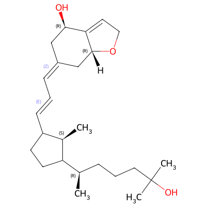 C[C@@H]1C(/C=C/C=C2/C[C@@H](O)C3=CCO[C@@H]3C2)CCC1[C@H](C)CCCC(C)(C)O